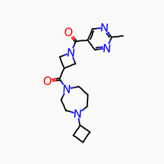 Cc1ncc(C(=O)N2CC(C(=O)N3CCCN(C4CCC4)CC3)C2)cn1